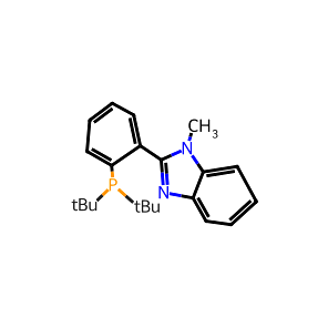 Cn1c(-c2ccccc2P(C(C)(C)C)C(C)(C)C)nc2ccccc21